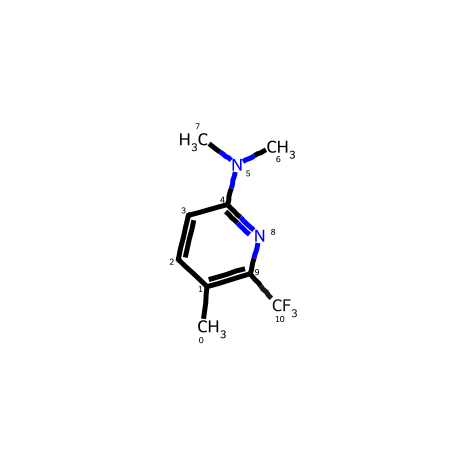 Cc1ccc(N(C)C)nc1C(F)(F)F